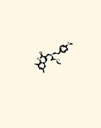 CCNC(=O)N(CCc1ccc(OC)cc1)Cc1cc2cc(C)cc(C)c2[nH]c1=O